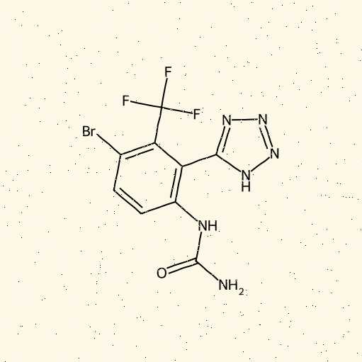 NC(=O)Nc1ccc(Br)c(C(F)(F)F)c1-c1nnn[nH]1